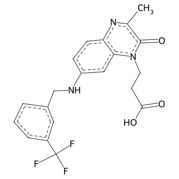 Cc1nc2ccc(NCc3cccc(C(F)(F)F)c3)cc2n(CCC(=O)O)c1=O